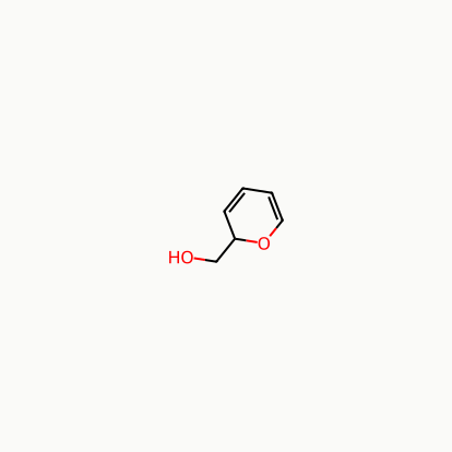 OCC1C=CC=CO1